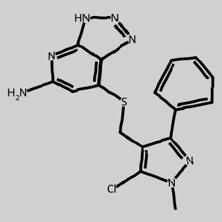 Cn1nc(-c2ccccc2)c(CSc2cc(N)nc3[nH]nnc23)c1Cl